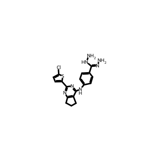 N/N=C(\NN)c1ccc(Nc2nc(-c3ccc(Cl)s3)nc3c2CCC3)cc1